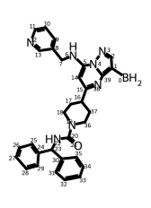 Bc1cnn2c(NCc3cccnc3)cc(C3CCN(C(=O)NC(c4ccccc4)c4ccccc4)CC3)nc12